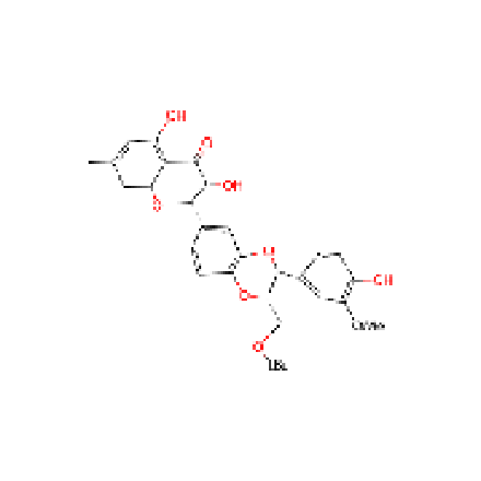 COc1cc(C2Oc3cc([C@@H]4Oc5cc(C)cc(O)c5C(=O)[C@@H]4O)ccc3O[C@H]2COC(C)(C)C)ccc1O